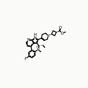 CC[C@H]1c2c(C3=CCN([C@H]4C[C@H](C(=O)OC)C4)CC3)[nH]c3nccc(c23)-c2cc(F)ccc2N1C